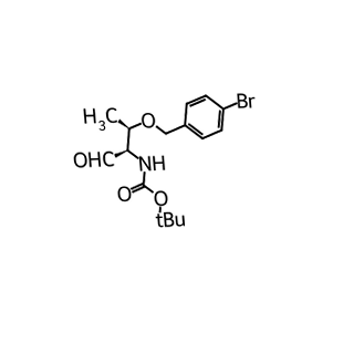 C[C@@H](OCc1ccc(Br)cc1)[C@H](C=O)NC(=O)OC(C)(C)C